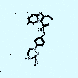 CCc1nc2ccc(I)cn2c1C(=O)NCc1ccc(N2CCNC(OC)=N2)cc1